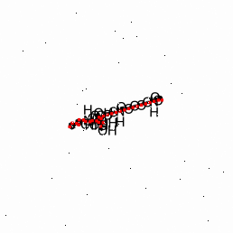 CC(C)(C)OC(=O)NCCOCCOCCOCCOCCC(=O)NCCOCCOCCOC1(C(=O)O)CC(O)C(NC(=O)CO)C([C@H](O)[C@H](O)CNC(=O)Cc2ccc(-c3ccccc3)cc2)O1